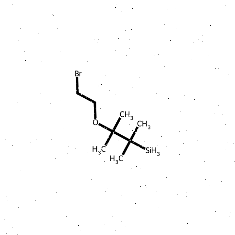 CC(C)([SiH3])C(C)(C)OCCBr